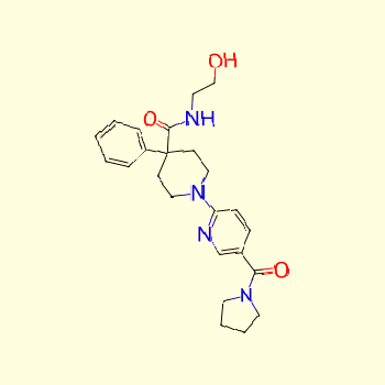 O=C(c1ccc(N2CCC(C(=O)NCCO)(c3ccccc3)CC2)nc1)N1CCCC1